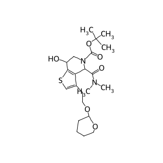 CN(C)C(=O)C1c2c(CCOC3CCCCO3)csc2C(O)CN1C(=O)OC(C)(C)C